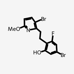 COc1ccc(Br)c(CCc2c(O)cc(Br)cc2F)n1